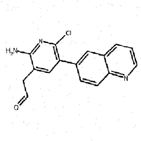 Nc1nc(Cl)c(-c2ccc3ncccc3c2)cc1CC=O